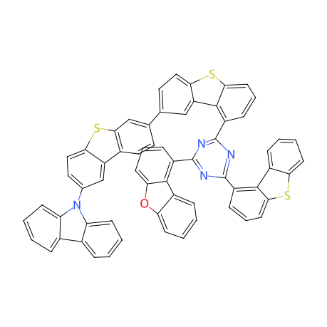 c1ccc2c(c1)oc1cccc(-c3nc(-c4cccc5sc6ccccc6c45)nc(-c4cccc5sc6ccc(-c7ccc8c(c7)sc7ccc(-n9c%10ccccc%10c%10ccccc%109)cc78)cc6c45)n3)c12